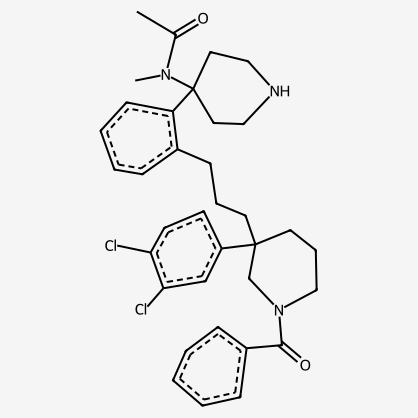 CC(=O)N(C)C1(c2ccccc2CCCC2(c3ccc(Cl)c(Cl)c3)CCCN(C(=O)c3ccccc3)C2)CCNCC1